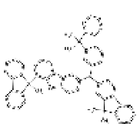 CC1(C)c2ccccc2-c2ccc(N(c3ccc4c(c3)C(C)(C)c3ccccc3-4)c3ccc4oc5c(C6(C)c7ccccc7-c7ccccc76)cccc5c4c3)cc21